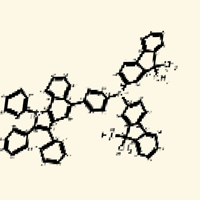 CC1(C)c2ccccc2-c2ccc(N(c3ccc(-c4cc5c(-c6ccccc6)c(-c6ccccc6)n(-c6ccccc6)c5c5ccccc45)cc3)c3ccc4c(c3)C(C)(C)c3ccccc3-4)cc21